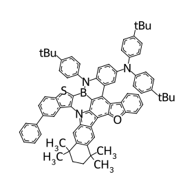 CC(C)(C)c1ccc(N2B3c4sc5ccc(-c6ccccc6)cc5c4-n4c5cc6c(cc5c5c7oc8ccccc8c7c(c3c54)-c3cc(N(c4ccc(C(C)(C)C)cc4)c4ccc(C(C)(C)C)cc4)ccc32)C(C)(C)CCC6(C)C)cc1